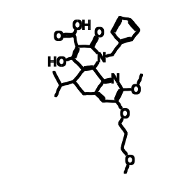 COCCCOc1cc2c(nc1OC)-c1c(c(O)c(C(=O)O)c(=O)n1Cc1ccccc1)C(C(C)C)C2